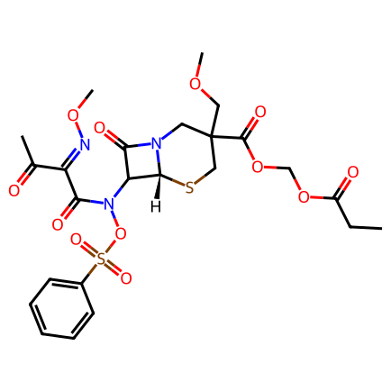 CCC(=O)OCOC(=O)C1(COC)CS[C@@H]2C(N(OS(=O)(=O)c3ccccc3)C(=O)C(=NOC)C(C)=O)C(=O)N2C1